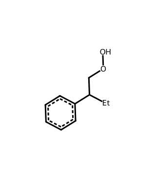 CCC(COO)c1ccccc1